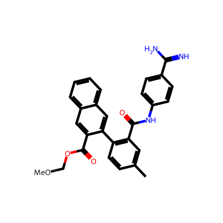 COCOC(=O)c1cc2ccccc2cc1-c1ccc(C)cc1C(=O)Nc1ccc(C(=N)N)cc1